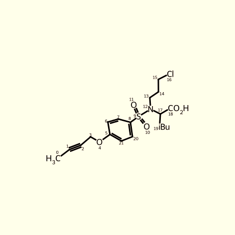 CC#CCOc1ccc(S(=O)(=O)N(CCCCl)C(C(=O)O)C(C)CC)cc1